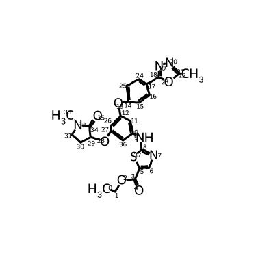 CCOC(=O)c1cnc(Nc2cc(Oc3ccc(-c4nnc(C)o4)cc3)cc(OC3CCN(C)C3=O)c2)s1